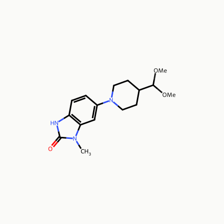 COC(OC)C1CCN(c2ccc3[nH]c(=O)n(C)c3c2)CC1